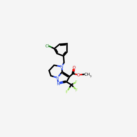 COC(=O)c1c(C(F)(F)F)nn2c1N(Cc1cccc(Cl)c1)CCC2